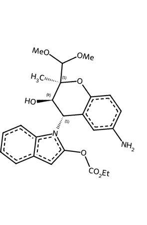 CCOC(=O)Oc1cc2ccccc2n1[C@H]1c2cc(N)ccc2O[C@](C)(C(OC)OC)[C@@H]1O